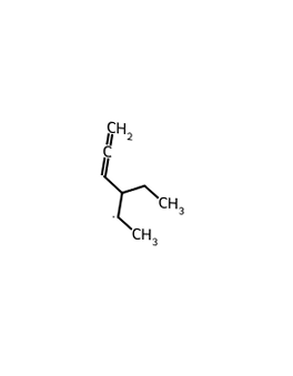 C=C=CC([CH]C)CC